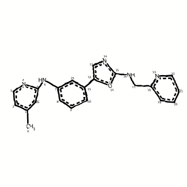 Cc1ccnc(Nc2cccc(-c3cnc(NCc4ccccn4)o3)c2)c1